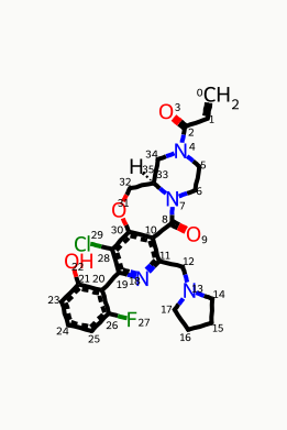 C=CC(=O)N1CCN2C(=O)c3c(CN4CCCC4)nc(-c4c(O)cccc4F)c(Cl)c3OC[C@H]2C1